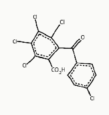 O=C(O)c1c(Cl)c(Cl)c(Cl)c(Cl)c1C(=O)c1ccc(Cl)cc1